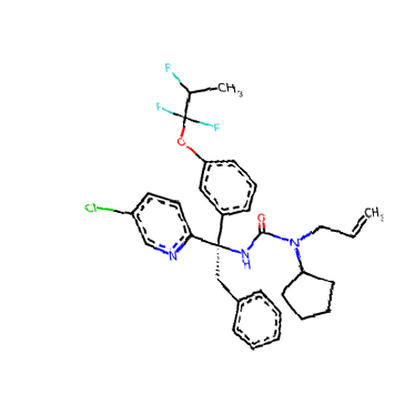 C=CCN(C(=O)N[C@](Cc1ccccc1)(c1cccc(OC(F)(F)C(C)F)c1)c1ccc(Cl)cn1)C1CCCC1